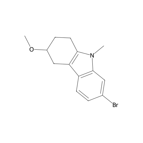 COC1CCc2c(c3ccc(Br)cc3n2C)C1